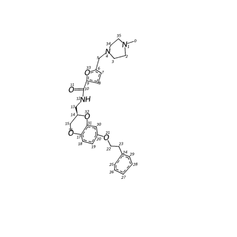 CN1CCN(Cc2ccc(C(=O)NC[C@@H]3COc4ccc(OCCc5ccccc5)cc4O3)o2)CC1